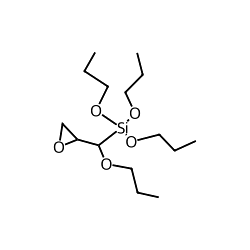 CCCOC(C1CO1)[Si](OCCC)(OCCC)OCCC